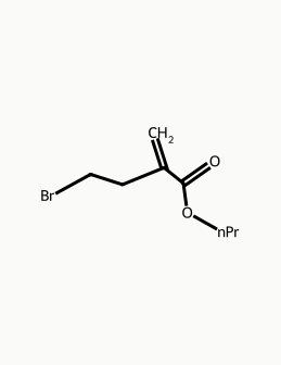 C=C(CCBr)C(=O)OCCC